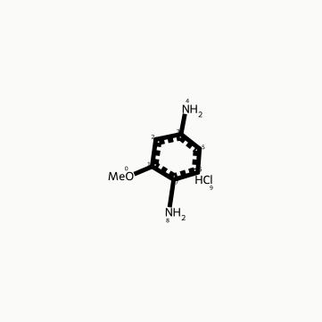 COc1cc(N)ccc1N.Cl